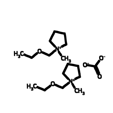 CCOC[N+]1(C)CCCC1.CCOC[N+]1(C)CCCC1.O=C([O-])[O-]